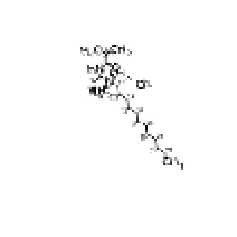 C=C(C)C(=O)NC(CC)[N+](C)(C)CCCCCCCCCCCC.[Cl-]